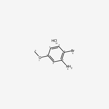 COc1ccc(Br)c(N)c1.Cl